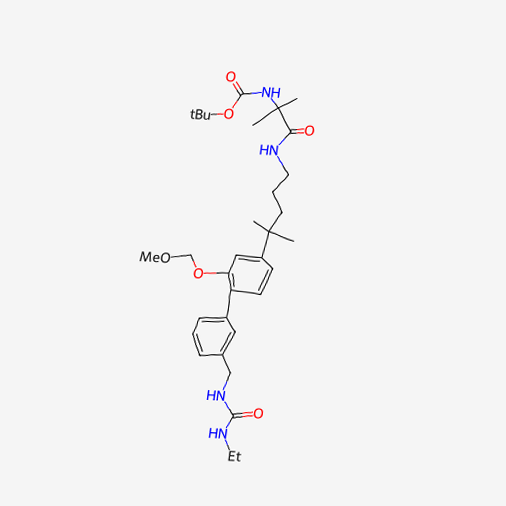 CCNC(=O)NCc1cccc(-c2ccc(C(C)(C)CCCNC(=O)C(C)(C)NC(=O)OC(C)(C)C)cc2OCOC)c1